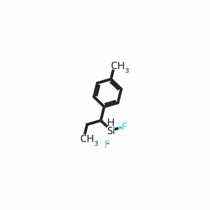 CCC(c1ccc(C)cc1)[SiH](F)F